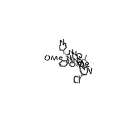 COc1cccc(OC)c1-n1c(Cc2ccncc2)nnc1NS(=O)(=O)[C@@H](C)[C@H](C)c1ncc(Cl)cn1